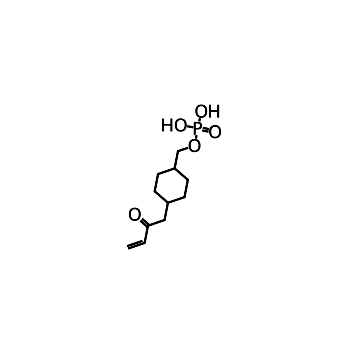 C=CC(=O)CC1CCC(COP(=O)(O)O)CC1